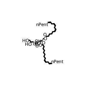 CCCCC/C=C\C/C=C\C/C=C\CCCCC(=O)OC[C@H](COP(=O)(O)OC[C@@H](O)CO)OC(=O)CCCCCCC/C=C\C/C=C\CCCCC